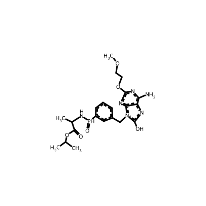 COCCOc1nc(N)c2nc(O)n(Cc3cccc([PH](=O)NC(C)C(=O)OC(C)C)c3)c2n1